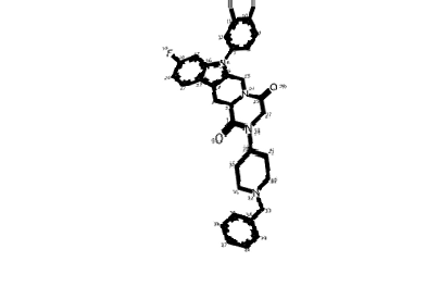 O=C1C2Cc3c(n(-c4ccc5c(c4)OCO5)c4cc(F)ccc34)CN2C(=O)CN1C1CCN(Cc2ccccc2)CC1